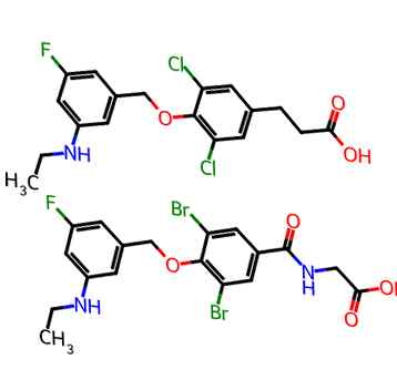 CCNc1cc(F)cc(COc2c(Br)cc(C(=O)NCC(=O)O)cc2Br)c1.CCNc1cc(F)cc(COc2c(Cl)cc(CCC(=O)O)cc2Cl)c1